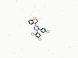 Clc1ccc([C@@H]2CN(C3CCOc4ccccc43)CCN2c2ccc(Cl)cc2Cl)cc1